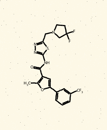 Cc1oc(-c2cccc(C(F)(F)F)c2)cc1C(=O)Nc1nnc(CN2CCC(F)(F)C2)s1